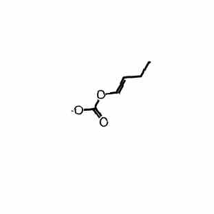 CCC=COC([O])=O